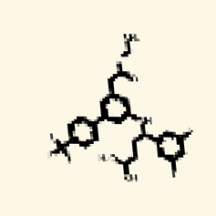 CCOC(=O)Cc1cc(NC(CCC(C)C)c2cc(F)cc(F)c2)cc(-c2ccc(C(F)(F)F)cc2)c1